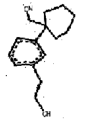 N#CCC1(c2cccc(CCO)c2)CCCCC1